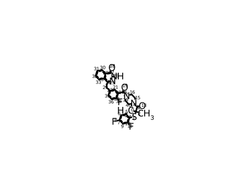 CC(C)(Sc1ccc(F)cc1F)C(=O)N1CCN(C(=O)c2cc(Cc3n[nH]c(=O)c4ccccc34)ccc2F)CC1